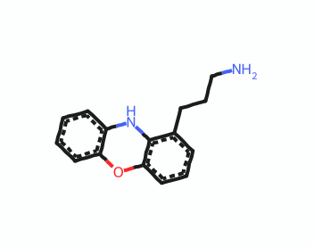 NCCCc1cccc2c1Nc1ccccc1O2